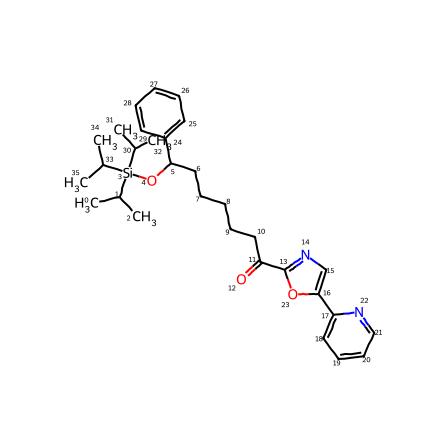 CC(C)[Si](OC(CCCCCC(=O)c1ncc(-c2ccccn2)o1)c1ccccc1)(C(C)C)C(C)C